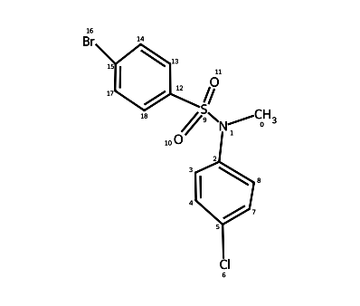 CN(c1ccc(Cl)cc1)S(=O)(=O)c1ccc(Br)cc1